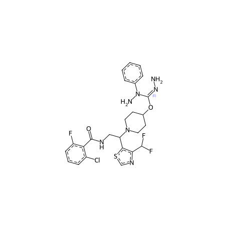 N/N=C(/OC1CCN(C(CNC(=O)c2c(F)cccc2Cl)c2scnc2C(F)F)CC1)N(N)c1ccccc1